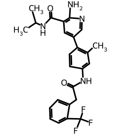 Cc1cc(NC(=O)Cc2ccccc2C(F)(F)F)ccc1-c1cnc(N)c(C(=O)NC(C)C)c1